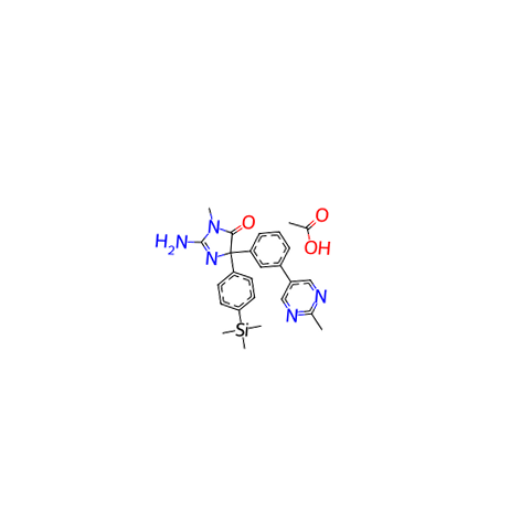 CC(=O)O.Cc1ncc(-c2cccc(C3(c4ccc([Si](C)(C)C)cc4)N=C(N)N(C)C3=O)c2)cn1